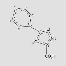 O=C(O)c1n[c]c(-c2ccccc2)o1